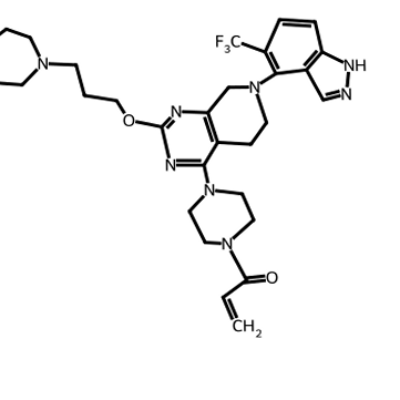 C=CC(=O)N1CCN(c2nc(OCCCN3CCOCC3)nc3c2CCN(c2c(C(F)(F)F)ccc4[nH]ncc24)C3)CC1